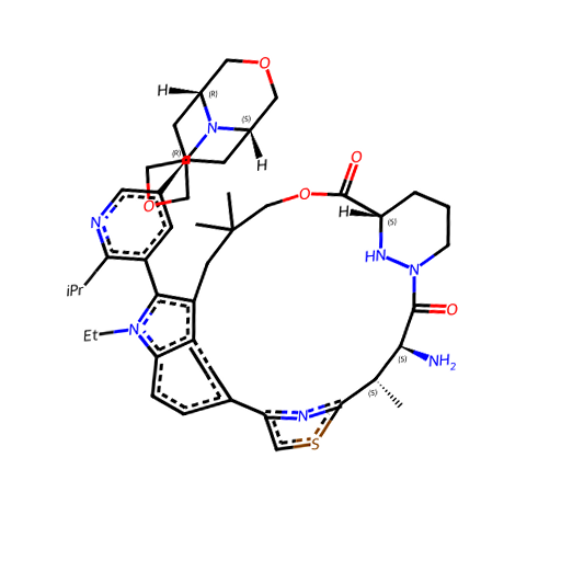 CCn1c(-c2cc([C@@H]3C[C@H]4COC[C@@H](C3)N4C3COC3)cnc2C(C)C)c2c3cc(ccc31)-c1csc(n1)[C@@H](C)[C@H](N)C(=O)N1CCC[C@H](N1)C(=O)OCC(C)(C)C2